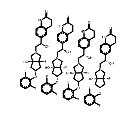 O=C1CCc2cc([C@@H](O)CN3C[C@@H]4C[C@@H](Oc5c(F)cccc5F)C[C@]4(O)C3)ccc2N1.O=C1CCc2cc([C@@H](O)CN3C[C@H]4C[C@H](Oc5c(F)cccc5F)C[C@@]4(O)C3)ccc2N1.O=C1CCc2cc([C@H](O)CN3C[C@@H]4C[C@@H](Oc5c(F)cccc5F)C[C@]4(O)C3)ccc2N1.O=C1CCc2cc([C@H](O)CN3C[C@H]4C[C@H](Oc5c(F)cccc5F)C[C@@]4(O)C3)ccc2N1